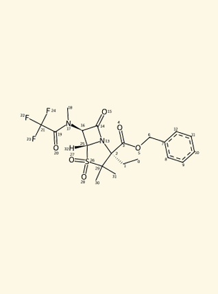 CC[C@@]1(C(=O)OCc2ccccc2)N2C(=O)[C@H](N(C)C(=O)C(F)(F)F)[C@H]2S(=O)(=O)C1(C)C